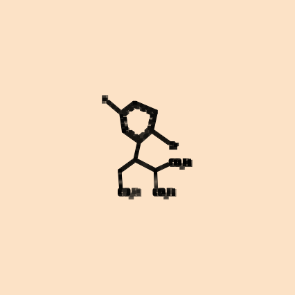 CCOC(=O)CC(c1cc(F)ccc1Br)C(C(=O)OCC)C(=O)OCC